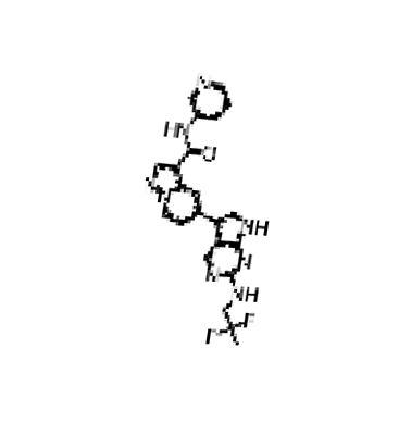 CC(F)(F)CNc1ncc2c(-c3ccn4ncc(C(=O)Nc5cccnc5)c4c3)c[nH]c2n1